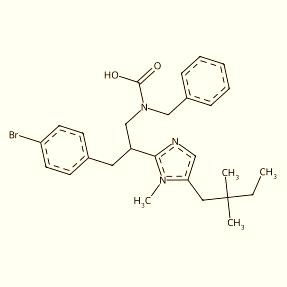 CCC(C)(C)Cc1cnc(C(Cc2ccc(Br)cc2)CN(Cc2ccccc2)C(=O)O)n1C